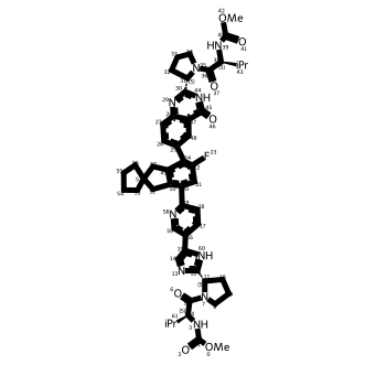 COC(=O)N[C@H](C(=O)N1CCC[C@H]1c1ncc(-c2ccc(-c3cc(F)c(-c4ccc5nc([C@@H]6CCCN6C(=O)[C@@H](NC(=O)OC)C(C)C)[nH]c(=O)c5c4)c4c3CC3(CCCC3)C4)nc2)[nH]1)C(C)C